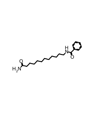 NC(=O)CCCCCCCCCCCNC(=O)c1ccccc1